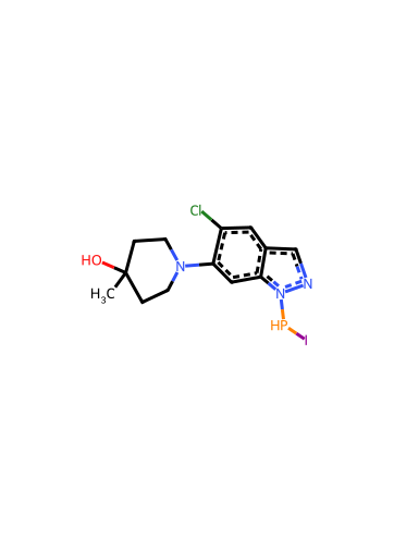 CC1(O)CCN(c2cc3c(cnn3PI)cc2Cl)CC1